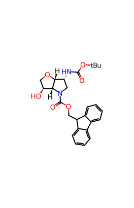 CC(C)(C)OC(=O)N[C@@H]1CN(C(=O)OCC2c3ccccc3-c3ccccc32)[C@H]2[C@@H]1OC[C@@H]2O